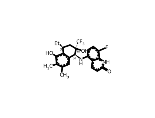 CC[C@H]1C[C@](O)(C(F)(F)F)[C@@H](Nc2ccc(F)c3[nH]c(=O)ccc23)c2cc(C)c(C)c(O)c21